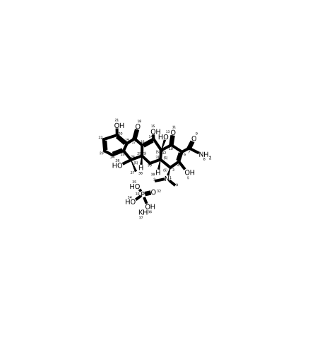 CN(C)[C@@H]1C(O)=C(C(N)=O)C(=O)[C@@]2(O)C(O)=C3C(=O)c4c(O)cccc4[C@@](C)(O)[C@H]3C[C@@H]12.O=P(O)(O)O.[KH]